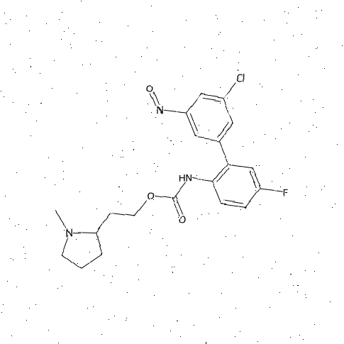 CN1CCCC1CCOC(=O)Nc1ccc(F)cc1-c1cc(Cl)cc(N=O)c1